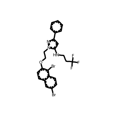 FC(F)(F)CCNc1cc(-c2ccccc2)nn1CCOc1ccc2cc(Br)ccc2c1Br